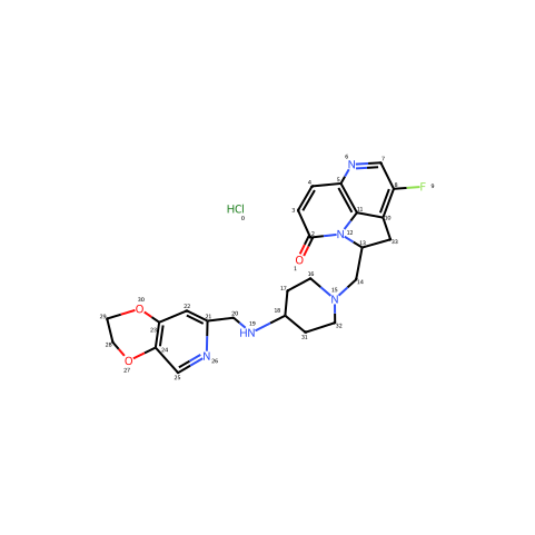 Cl.O=c1ccc2ncc(F)c3c2n1C(CN1CCC(NCc2cc4c(cn2)OCCO4)CC1)C3